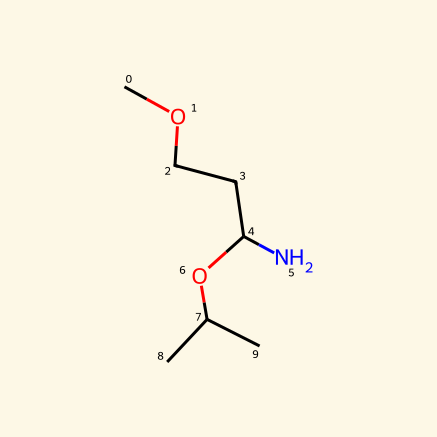 COCCC(N)OC(C)C